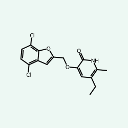 CCc1cc(OCc2cc3c(Cl)ccc(Cl)c3o2)c(=O)[nH]c1C